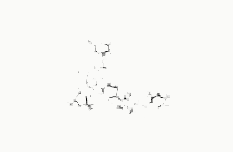 CCc1cccc(CNC[C@@H](O)[C@H](Cc2cc(F)cc(F)c2)NC(=O)c2ccc(S(=O)(=O)N(C)CCc3ccccc3)cc2)c1